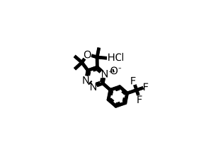 CC1(C)OC(C)(C)c2c1nnc(-c1cccc(C(F)(F)F)c1)[n+]2[O-].Cl